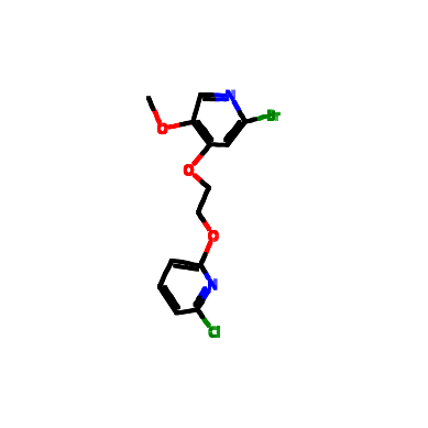 COc1cnc(Br)cc1OCCOc1cccc(Cl)n1